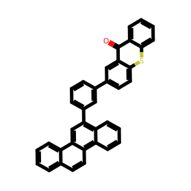 O=c1c2ccccc2sc2ccc(-c3cccc(-c4cc5c6ccccc6ccc5c5ccccc45)c3)cc12